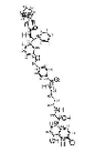 O=C(NC(c1ccccc1)c1cccc(OCc2ccc(C(=O)NCCCCNC[C@H](O)c3ccc(O)c4[nH]c(=O)ccc34)cc2)c1)O[C@H]1CN2CCC1CC2